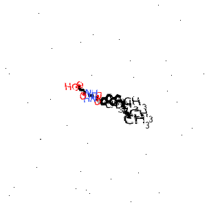 CC(C)CCC[C@@H](C)[C@H]1CCC2C3CC=C4C[C@@H](OC(=O)NCCNC(=O)CCC(=O)O)CC[C@]4(C)C3CC[C@@]21C